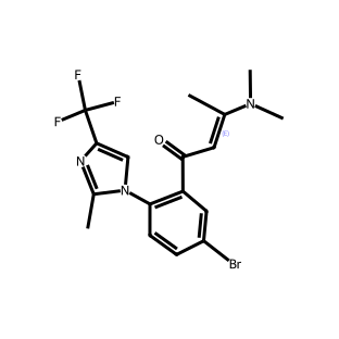 C/C(=C\C(=O)c1cc(Br)ccc1-n1cc(C(F)(F)F)nc1C)N(C)C